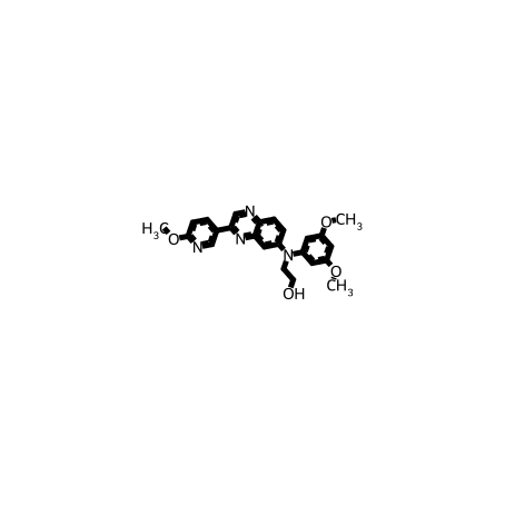 COc1cc(OC)cc(N(CCO)c2ccc3ncc(-c4ccc(OC)nc4)nc3c2)c1